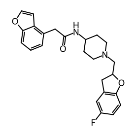 O=C(Cc1cccc2occc12)NC1CCN(CC2Cc3cc(F)ccc3O2)CC1